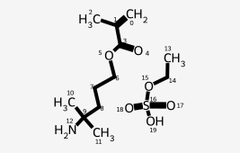 C=C(C)C(=O)OCCCC(C)(C)N.CCOS(=O)(=O)O